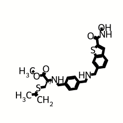 C=C(C)SC[C@H](NCc1ccc(CNCc2ccc3cc(C(=O)NO)sc3c2)cc1)C(=O)OC